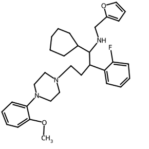 COc1ccccc1N1CCN(CCC(c2ccccc2F)C(NCc2ccco2)C2CCCCC2)CC1